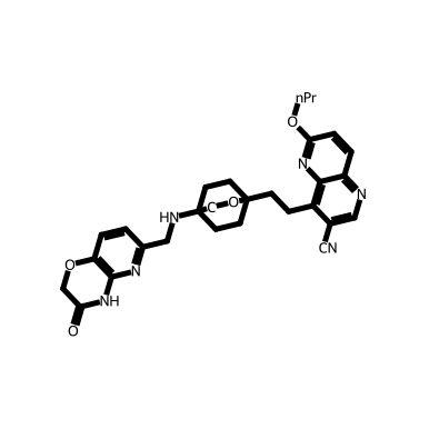 CCCOc1ccc2ncc(C#N)c(CCC34CCC(NCc5ccc6c(n5)NC(=O)CO6)(CC3)CO4)c2n1